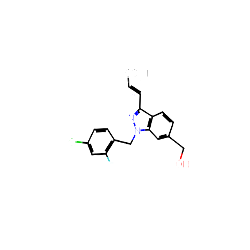 O=C(O)/C=C/c1nn(Cc2ccc(Cl)cc2F)c2cc(CO)ccc12